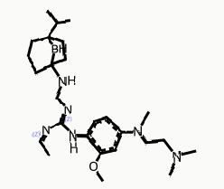 C/C=N\C(=N/CNC12BC(C(C)C)(CCC1)CC2)Nc1ccc(N(C)CCN(C)C)cc1OC